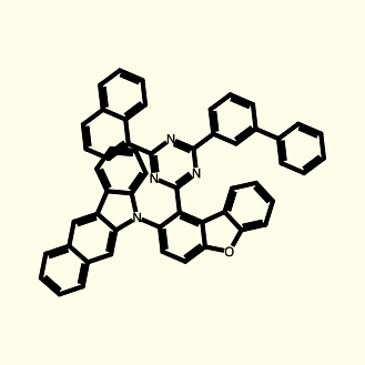 c1ccc(-c2cccc(-c3nc(-c4cccc5ccccc45)nc(-c4c(-n5c6ccccc6c6cc7ccccc7cc65)ccc5oc6ccccc6c45)n3)c2)cc1